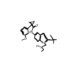 CC[C@H](O)Cn1c(C(C)(C)C)cc2cc(NC(=O)C3(c4cccc(OC)c4)CC3)ccc21